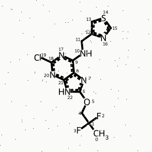 CC(F)(F)COc1nc2c(NCc3cscn3)nc(Cl)nc2[nH]1